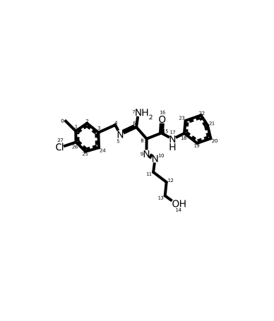 Cc1cc(C/N=C(\N)C(/N=N/CCCO)C(=O)Nc2ccccc2)ccc1Cl